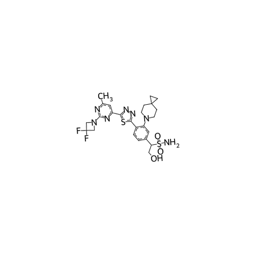 Cc1cc(-c2nnc(-c3ccc(C(CO)S(N)(=O)=O)cc3N3CCC4(CC3)CC4)s2)nc(N2CC(F)(F)C2)n1